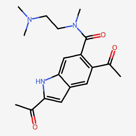 CC(=O)c1cc2cc(C(C)=O)c(C(=O)N(C)CCN(C)C)cc2[nH]1